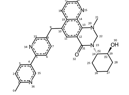 Cc1ccc(-c2ccc(Cc3cc4c(c5ncccc35)N(C)CN([C@H]3CCCC[C@@H]3O)C4=O)cn2)cn1